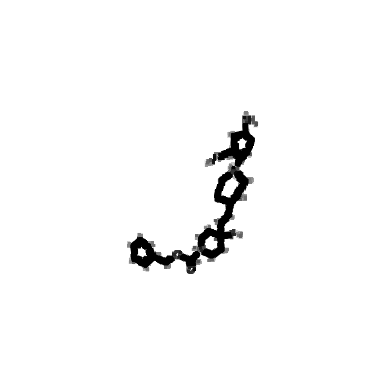 Nc1ccc(N2CCC(CCC3(F)CCN(C(=O)OCc4ccccc4)CC3)CC2)c(F)c1